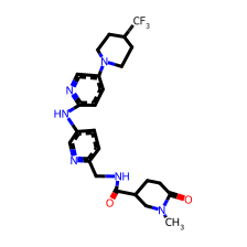 CN1CC(C(=O)NCc2ccc(Nc3ccc(N4CCC(C(F)(F)F)CC4)cn3)cn2)CCC1=O